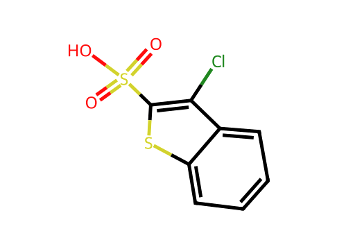 O=S(=O)(O)c1sc2ccccc2c1Cl